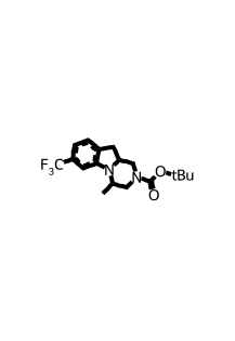 CC1CN(C(=O)OC(C)(C)C)CC2Cc3ccc(C(F)(F)F)cc3N12